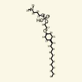 CCCCCCCCCCCC=C1CCC(OCCOP(=O)(O)OCCCN(C)C)CC1